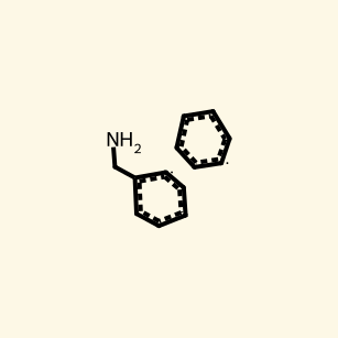 NCc1[c]cccc1.[c]1ccccc1